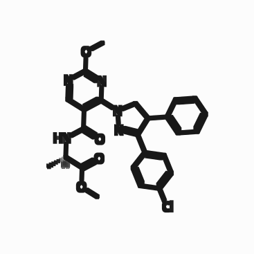 COC(=O)[C@H](C)NC(=O)c1cnc(OC)nc1N1CC(c2ccccc2)C(c2ccc(Cl)cc2)=N1